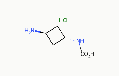 Cl.N[C@H]1C[C@H](NC(=O)O)C1